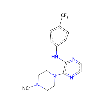 N#CN1CCN(c2nccnc2Nc2ccc(C(F)(F)F)cc2)CC1